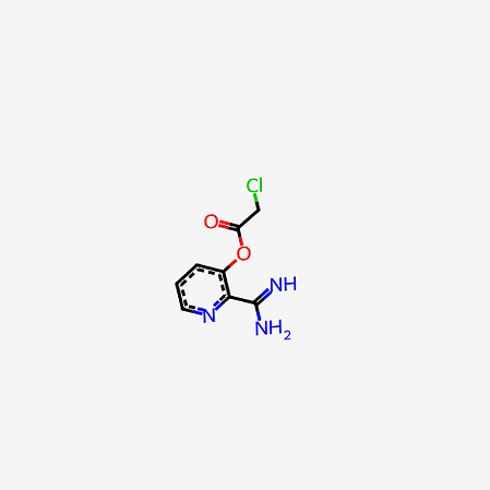 N=C(N)c1ncccc1OC(=O)CCl